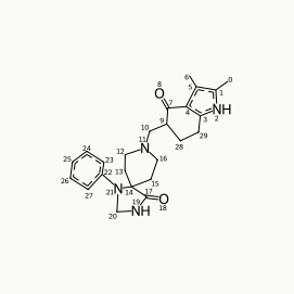 Cc1[nH]c2c(c1C)C(=O)C(CN1CCC3(CC1)C(=O)NCN3c1ccccc1)CC2